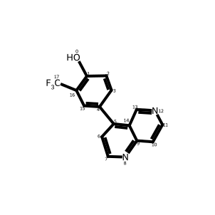 Oc1ccc(-c2ccnc3ccncc23)cc1C(F)(F)F